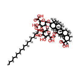 CCCCCCCCCCCCCCCCCC(=O)O[C@H]1[C@H](O)[C@@H](C(=O)O)O[C@H](O[C@H]2CC[C@]3(C)[C@H]4C(=O)C=C5[C@@H]6C[C@@](C)(C(=O)O)CC[C@]6(C)CC[C@@]5(C)[C@]4(C)CC[C@H]3C2(C)C)[C@@H]1O[C@@H]1O[C@H](C(=O)O)[C@@H](O)[C@H](O)[C@H]1O